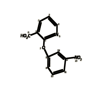 O=C(O)c1cccnc1Oc1cccc([N+](=O)[O-])c1